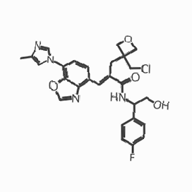 Cc1cn(-c2ccc(/C=C(\CC3(CCl)COC3)C(=O)NC(CO)c3ccc(F)cc3)c3ncoc23)cn1